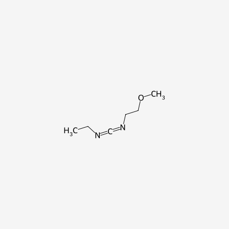 CCN=C=NCCOC